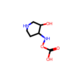 O=C(O)ONC1CCNCC1O